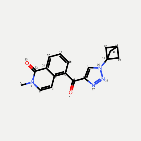 Cn1ccc2c(C(=O)c3cn(C45CC(C4)C5)nn3)cccc2c1=O